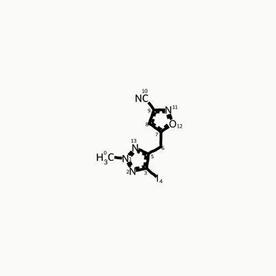 Cn1nc(I)c(Cc2cc(C#N)no2)n1